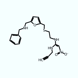 C#CCNC(=C[N+](=O)[O-])NCCSCc1ccc(CNCc2ccccc2)o1